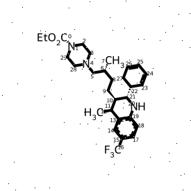 CCOC(=O)N1CCN(C[C@H](C)CC[C@@H]2C(C)c3cc(C(F)(F)F)ccc3N[C@H]2C2C=CC=CC2)CC1